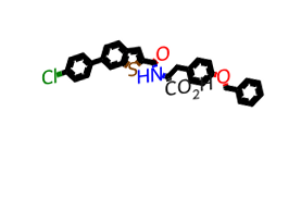 O=C(NC(Cc1ccc(OCc2ccccc2)cc1)C(=O)O)c1cc2ccc(-c3ccc(Cl)cc3)cc2s1